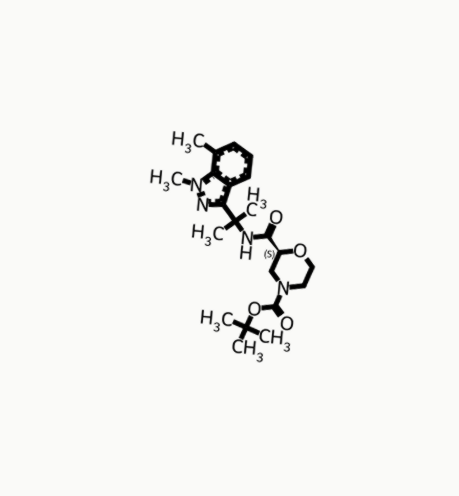 Cc1cccc2c(C(C)(C)NC(=O)[C@@H]3CN(C(=O)OC(C)(C)C)CCO3)nn(C)c12